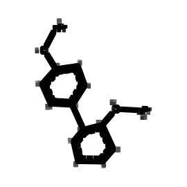 CCCOc1ccc(-c2[c]cccc2OCCC)cc1